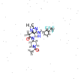 Cc1nc(NCc2cccc(C(F)(F)F)c2F)c2c(n1)C1(CC1)C(=O)N(C1CCN(C(=O)C3CC3)CC1)C2